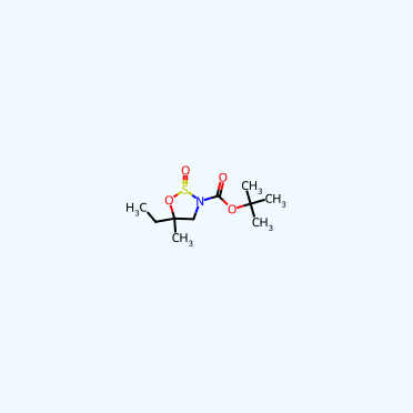 CCC1(C)CN(C(=O)OC(C)(C)C)S(=O)O1